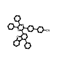 N#Cc1ccc(-c2ccc(-c3nc(-c4ccccc4)c(-c4ccccc4)nc3-c3ccc(-c4ccccc4)c4c3oc3ccccc34)cc2)cc1